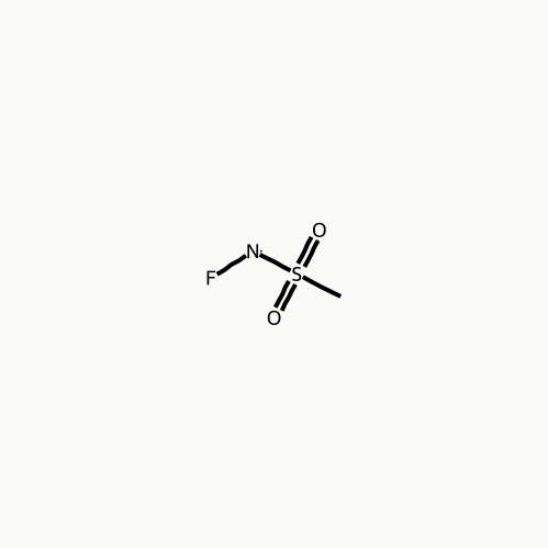 CS(=O)(=O)[N]F